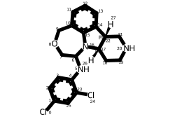 Clc1ccc(NC2COCc3cccc4c3N2[C@H]2CCNC[C@@H]42)c(Cl)c1